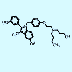 CCCCN(CCCC)CCOc1ccc(Cn2c(-c3cccc(O)c3)c(C)c3cc(O)ccc32)cc1